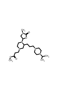 COC(=O)CCN1CCN(C2CN(C)C(=O)O2)C(CCCN2CCN(C(C)C)CC2)C1